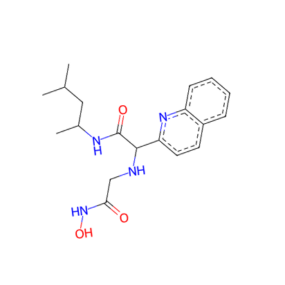 CC(C)CC(C)NC(=O)C(NCC(=O)NO)c1ccc2ccccc2n1